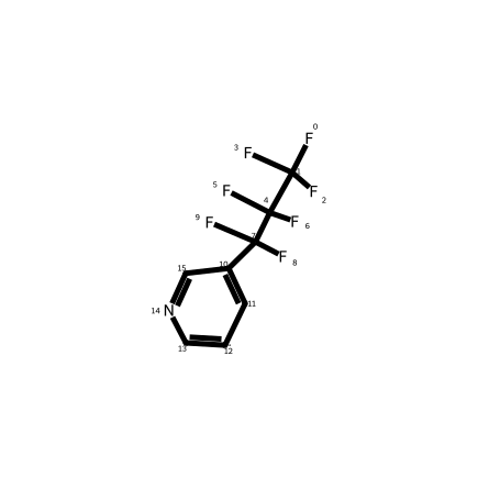 FC(F)(F)C(F)(F)C(F)(F)c1c[c]cnc1